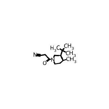 CC1CCN(C(=O)CC#N)CC1C(C)(C)C